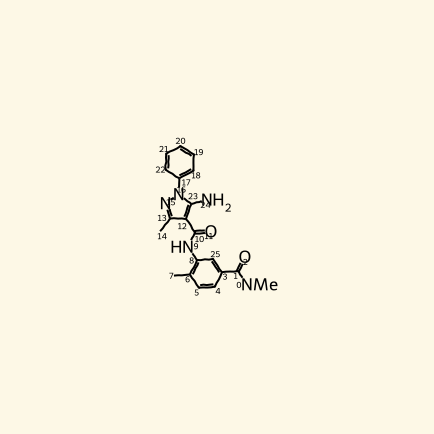 CNC(=O)c1ccc(C)c(NC(=O)c2c(C)nn(-c3ccccc3)c2N)c1